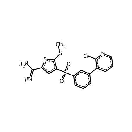 CSc1sc(C(=N)N)cc1S(=O)(=O)c1cccc(-c2cccnc2Cl)c1